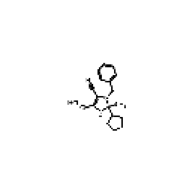 CC1(C2CCCC2)NC(Cl)=C(C#N)N1Cc1ccccc1.Cl